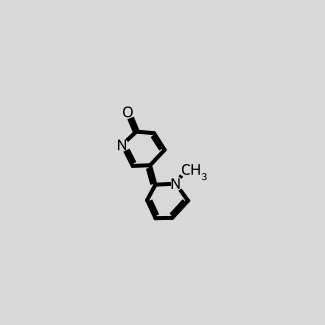 CN1C=CC=CC1=C1C=CC(=O)N=C1